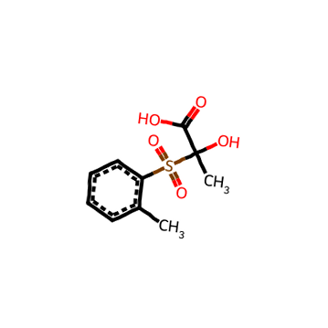 Cc1ccccc1S(=O)(=O)C(C)(O)C(=O)O